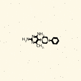 Cc1nc(N)nc(N)c1N1CCN(c2ccccc2)CC1